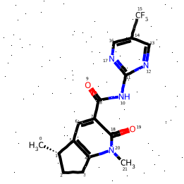 C[C@H]1CCc2c1cc(C(=O)Nc1ncc(C(F)(F)F)cn1)c(=O)n2C